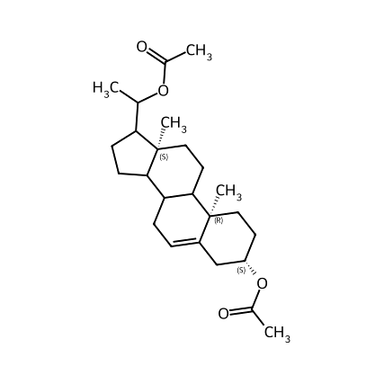 CC(=O)OC(C)C1CCC2C3CC=C4C[C@@H](OC(C)=O)CC[C@]4(C)C3CC[C@]12C